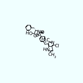 Cc1cc2c(Cl)nc(C)c(Cc3ccc(S(=O)(=O)N[C@@H](Cc4ccccc4)C(=O)O)cc3)c2[nH]1